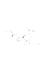 C[S+]([O-])CCC(NC(=O)C(N)CC(N)=O)C(=O)O